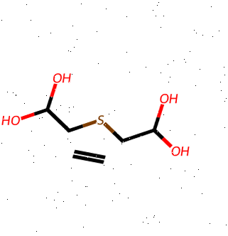 C=C.OC(O)CSCC(O)O